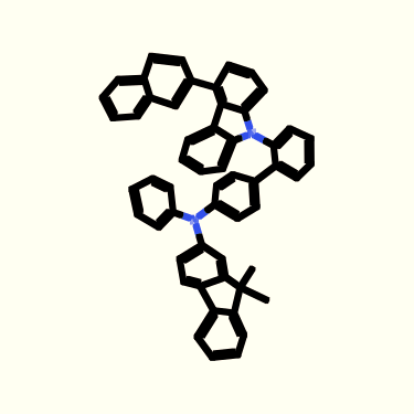 CC1(C)c2ccccc2-c2ccc(N(c3ccccc3)c3ccc(-c4ccccc4-n4c5ccccc5c5c(-c6ccc7ccccc7c6)cccc54)cc3)cc21